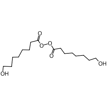 O=C(CCCCCCCO)OOC(=O)CCCCCCCO